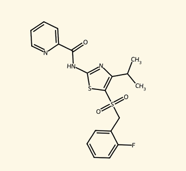 CC(C)c1nc(NC(=O)c2ccccn2)sc1S(=O)(=O)Cc1ccccc1F